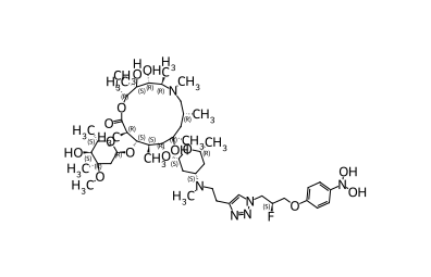 CC[C@H]1OC(=O)[C@H](C)[C@@H](O[C@H]2C[C@@](C)(OC)[C@@H](O)[C@H](C)O2)[C@H](C)[C@@H](O[C@H]2C[C@@H](N(C)CCc3cn(C[C@H](F)COc4ccc(N(O)O)cc4)nn3)C[C@@H](C)O2)[C@](C)(O)C[C@@H](C)CN(C)[C@H](C)[C@@H](O)[C@]1(C)O